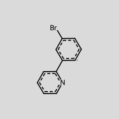 Brc1cc[c]c(-c2ccccn2)c1